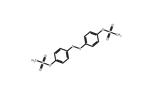 CS(=O)(=O)Oc1ccc(SSc2ccc(OS(C)(=O)=O)cc2)cc1